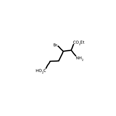 CCOC(=O)C(N)C(Br)CCC(=O)O